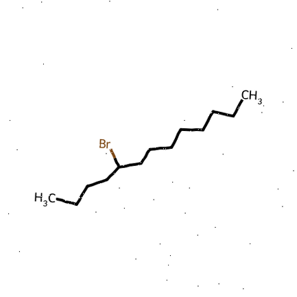 CCCCCCCCC(Br)CCCC